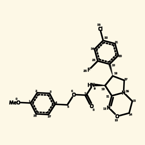 COc1ccc(COC(=O)N[C@@H]2C3=NOCCN3C[C@H]2c2ccc(Cl)cc2F)cc1